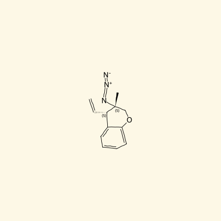 C=C[C@H]1c2ccccc2OC[C@@]1(C)N=[N+]=[N-]